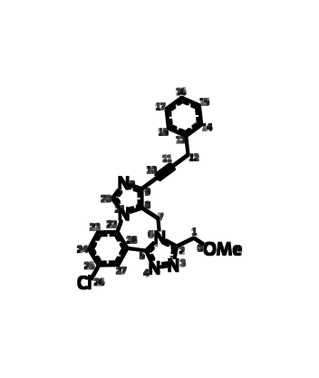 COCc1nnc2n1Cc1c(C#CCc3ccccc3)ncn1-c1ccc(Cl)cc1-2